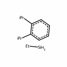 CC(C)c1ccccc1C(C)C.CC[SiH3]